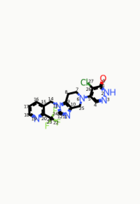 O=c1[nH]ncc(N2CCc3c(ncn3Cc3cccnc3C(F)(F)F)C2)c1Cl